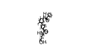 Cc1ccc(NC(=O)c2ccsc2)cc1-c1ccc(C(=O)NCCCCO)cc1